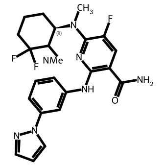 CNC1[C@H](N(C)c2nc(Nc3cccc(-n4cccn4)c3)c(C(N)=O)cc2F)CCCC1(F)F